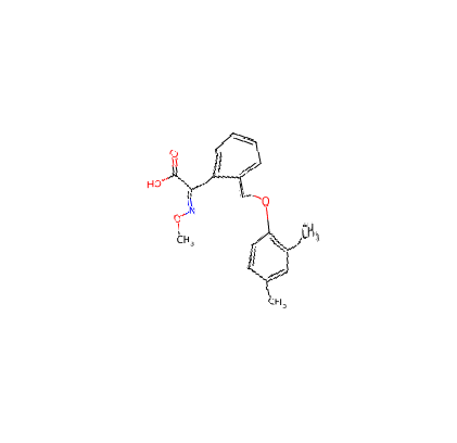 CON=C(C(=O)O)c1ccccc1COc1ccc(C)cc1C